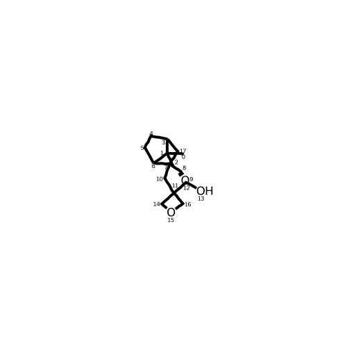 CC1(C)C2CCC1C(C=O)(CC1(CO)COC1)C2